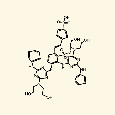 O=S(=O)(O)c1ccc(C=Cc2ccc(Nc3nc(Nc4ccccc4)nc(N(CCO)CCO)n3)c(Nc3nc(Nc4ccccc4)nc(N(CCO)CCO)n3)c2S(=O)(=O)O)cc1